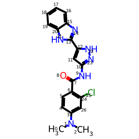 CN(C)c1ccc(C(=O)Nc2cc(-c3nc4ccccc4[nH]3)[nH]n2)c(Cl)c1